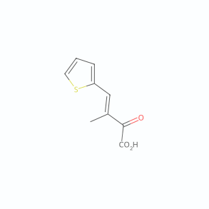 C/C(=C\c1cccs1)C(=O)C(=O)O